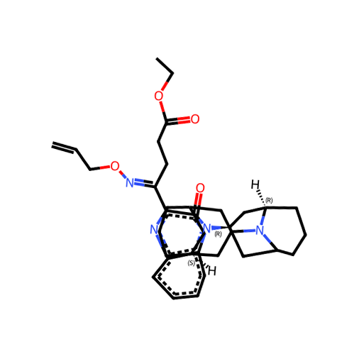 C=CCON=C(CCC(=O)OCC)c1nc2ccccc2n([C@@H]2CC3CCC[C@H](C2)N3C2CC3CCC[C@@H](C3)C2)c1=O